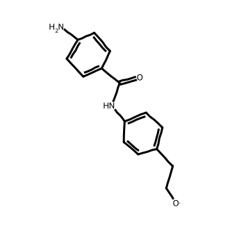 Nc1ccc(C(=O)Nc2ccc(CC[O])cc2)cc1